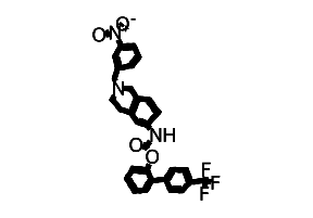 O=C(Nc1ccc2c(c1)CCN(Cc1cccc([N+](=O)[O-])c1)C2)Oc1ccccc1-c1ccc(C(F)(F)F)cc1